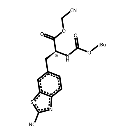 CC(C)(C)OC(=O)N[C@@H](Cc1ccc2nc(C#N)sc2c1)C(=O)OCC#N